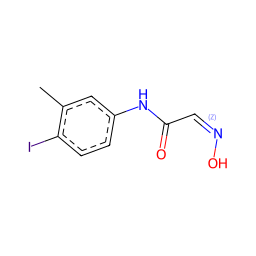 Cc1cc(NC(=O)/C=N\O)ccc1I